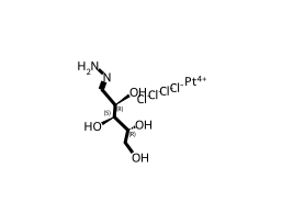 NN=C[C@@H](O)[C@H](O)[C@H](O)CO.[Cl-].[Cl-].[Cl-].[Cl-].[Pt+4]